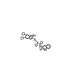 CO/C(=C\C=C\c1cc2cc(Cl)c(Cl)cc2[nH]1)C(=O)Nc1cnc2ccccc2c1